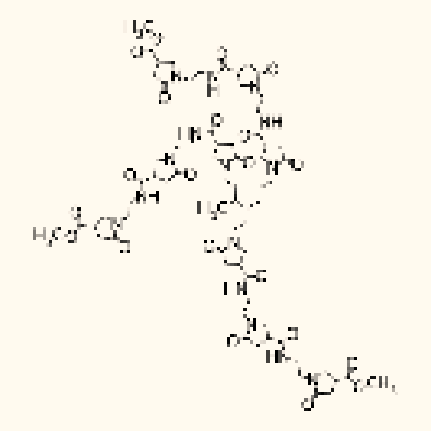 COC(=O)C1CC(=O)N(CCNC(=O)C2CC(=O)N(CCNC(=O)C3CC(=O)N(CCCC(CCN4CC(C(=O)NCCN5CC(C(=O)NCCN6CC(C(=O)OC)CC6=O)CC5=O)CC4=O)C(C)CCN4CC(C(=O)NCCN5CC(C(=O)NCCN6CC(C(=O)OC)CC6=O)CC5=O)CC4=O)C3)C2)C1